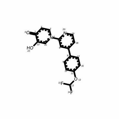 O=c1ccn(-c2cc(-c3ccc(OC(F)F)cc3)ccn2)cc1O